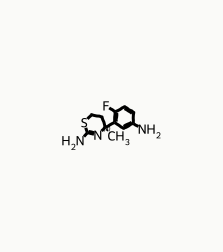 C[C@@]1(c2cc(N)ccc2F)CCSC(N)=N1